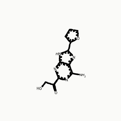 Nc1nc(C(=O)CO)nc2[nH]c(-c3ccco3)nc12